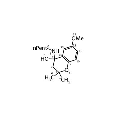 CCCCCNC1(O)CC(C)(C)Oc2c[c]c(OC)cc21